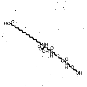 O=C(O)CCCCCCCCCCCCCCCCC(=O)N[C@@H](CCC(=O)NCCOCCOC(=O)NCCOCCO)C(=O)O